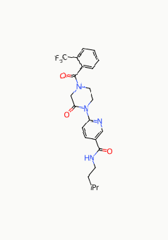 CC(C)CCNC(=O)c1ccc(N2CCN(C(=O)c3ccccc3C(F)(F)F)CC2=O)nc1